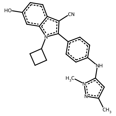 Cc1cc(Nc2ccc(-c3c(C#N)c4ccc(O)cc4n3C3CCC3)cc2)n(C)n1